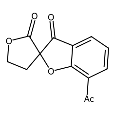 CC(=O)c1cccc2c1OC1(CCOC1=O)C2=O